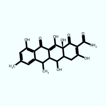 Cc1cc(O)c2c(c1)C(C)C1C(=C(O)[C@]3(O)C(=O)C(C(N)=O)=C(O)CC3C1O)C2=O